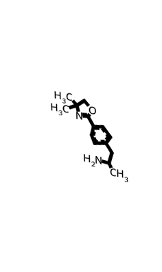 CC(N)Cc1ccc(C2=NC(C)(C)CO2)cc1